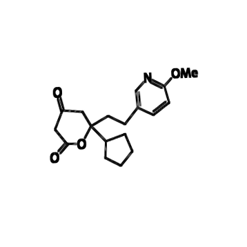 COc1ccc(CCC2(C3CCCC3)CC(=O)CC(=O)O2)cn1